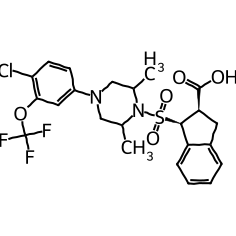 CC1CN(c2ccc(Cl)c(OC(F)(F)F)c2)CC(C)N1S(=O)(=O)[C@@H]1c2ccccc2C[C@@H]1C(=O)O